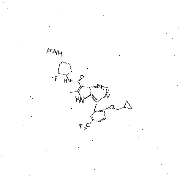 CC(=O)N[C@@H]1CC[C@@H](NC(=O)c2c(C)[nH]c3c(-c4cc(C(F)(F)F)ccc4OCC4CC4)ncnc23)[C@H](F)C1